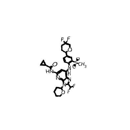 CS(=O)(=O)c1cc(C2CCC(F)(F)CO2)ccc1Nc1cc(NC(=O)C2CC2)nc2c1nc(C(F)F)n2C1CCCCO1